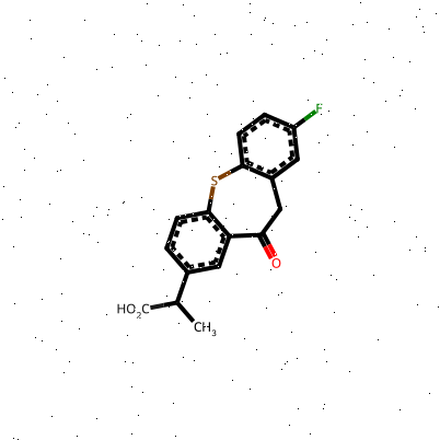 CC(C(=O)O)c1ccc2c(c1)C(=O)Cc1cc(F)ccc1S2